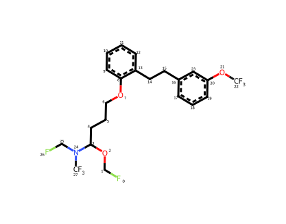 FCOC(CCCOc1ccccc1CCc1cccc(OC(F)(F)F)c1)N(CF)C(F)(F)F